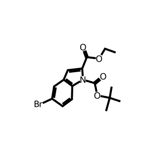 CCOC(=O)c1cc2cc(Br)ccc2n1C(=O)OC(C)(C)C